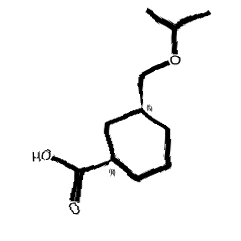 CC(C)OC[C@H]1CCC[C@@H](C(=O)O)C1